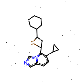 c1cc2cncn2c(C2CC(C3CCCCC3)S2)c1C1CC1